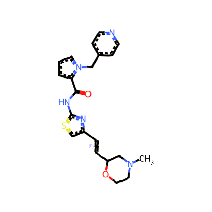 CN1CCOC(/C=C/c2csc(NC(=O)c3cccn3Cc3ccncc3)n2)C1